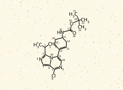 CC(C)c1ncc2c(Cl)ncc(C3=CCC(NC(=O)OC(C)(C)C)CC3)n12